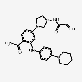 C=CC(=O)N[C@H]1CCN(c2ccc(C(N)=O)c(Nc3ccc(N4CCCCC4)cc3)n2)C1